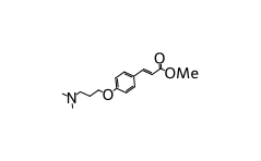 COC(=O)/C=C/c1ccc(OCCCN(C)C)cc1